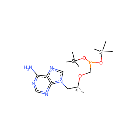 C[C@H](Cn1cnc2c(N)ncnc21)OCP(O[Si](C)(C)C)O[Si](C)(C)C